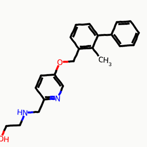 Cc1c(COc2ccc(CNCCO)nc2)cccc1-c1ccccc1